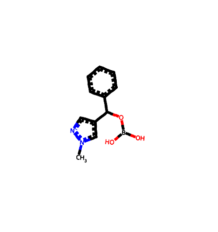 Cn1cc(C(OB(O)O)c2ccccc2)cn1